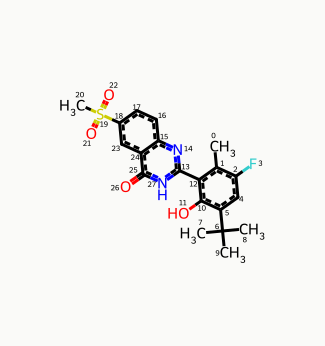 Cc1c(F)cc(C(C)(C)C)c(O)c1-c1nc2ccc(S(C)(=O)=O)cc2c(=O)[nH]1